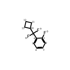 Fc1ccccc1C(F)(F)C1CCC1